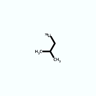 [78Li][CH2]C(C)C